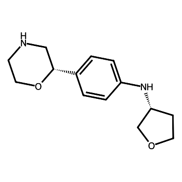 c1cc([C@H]2CNCCO2)ccc1N[C@@H]1CCOC1